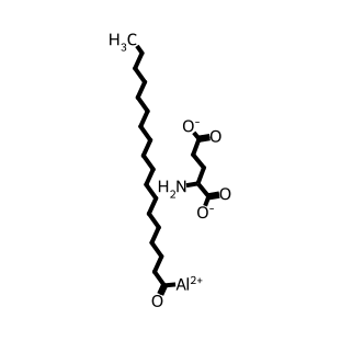 CCCCCCCCCCCCCCCCC[C](=O)[Al+2].NC(CCC(=O)[O-])C(=O)[O-]